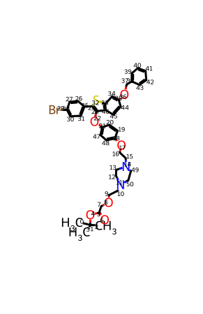 CC(C)(C)OC(=O)COCCN1CCN(CCOc2ccc(Oc3c(-c4ccc(Br)cc4)sc4cc(OCc5ccccc5)ccc34)cc2)CC1